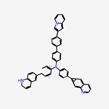 C/C=C(\C=C/Cc1ccc2c(c1)C=CCN2)N(c1ccc(C2=C3C=c4ncccc4=CC32)cc1)c1ccc(-c2ccc(-c3cc4ccccn4c3)cc2)cc1